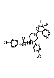 COc1ccc(C2CN(C(=O)c3cnccc3C(F)(F)F)CCC2NC(=O)Nc2ccc(Cl)cc2)nc1